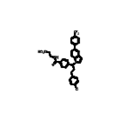 O=C(O)CCNC(=O)c1ccc(C(CCc2ccc(Cl)cc2)n2ccc3cc(-c4ccc(C(F)(F)F)cc4)ccc32)cc1